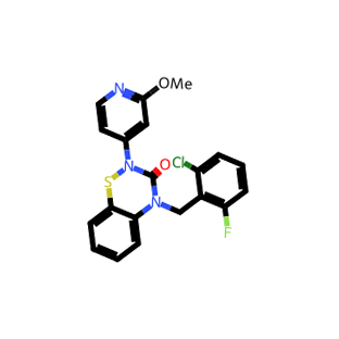 COc1cc(N2Sc3ccccc3N(Cc3c(F)cccc3Cl)C2=O)ccn1